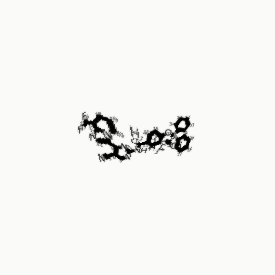 CC(Nc1ncc(C#N)c(-c2cnc3c(C(F)F)cccn23)n1)c1ccc(O[Si](c2ccccc2)(c2ccccc2)C(C)(C)C)cc1